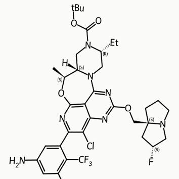 CC[C@@H]1CN2c3nc(OC[C@@]45CCCN4C[C@H](F)C5)nc4c(Cl)c(-c5cc(N)cc(C)c5C(F)(F)F)nc(c34)O[C@@H](C)[C@@H]2CN1C(=O)OC(C)(C)C